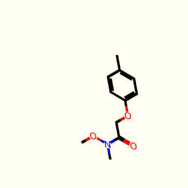 CON(C)C(=O)COc1ccc(C)cc1